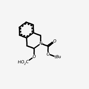 CC(C)(C)OC(=O)N1Cc2ccccc2CC1OC(=O)O